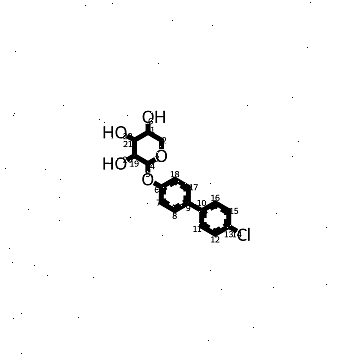 OC1COC(Oc2ccc(-c3ccc(Cl)cc3)cc2)C(O)C1O